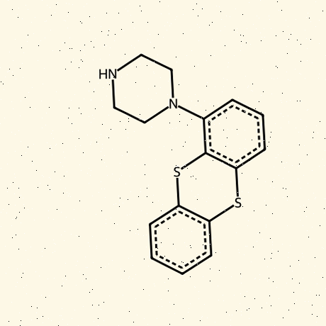 c1ccc2c(c1)Sc1cccc(N3CCNCC3)c1S2